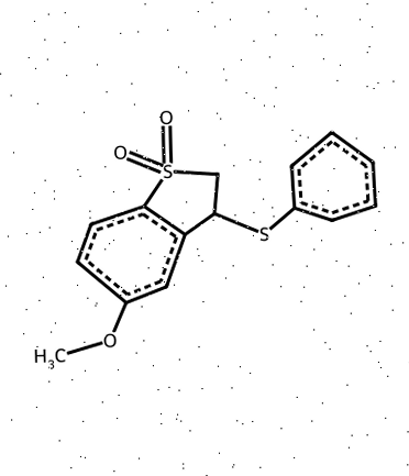 COc1ccc2c(c1)C(Sc1ccccc1)CS2(=O)=O